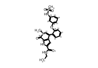 CCNC(=O)c1cc2c(-c3ccccc3Oc3cccc(NS(C)(=O)=O)c3)cn(C)c(=O)c2[nH]1